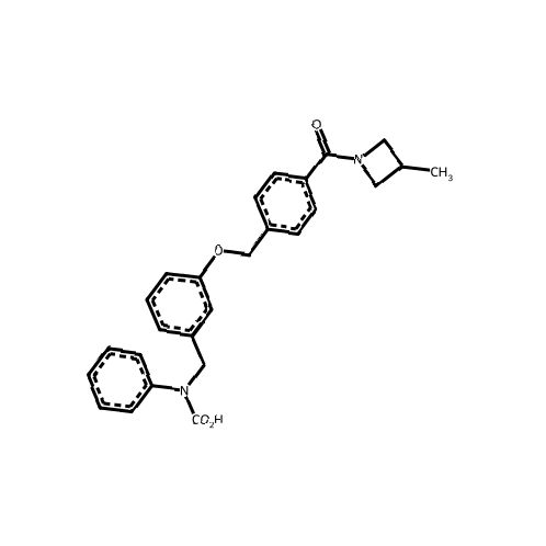 CC1CN(C(=O)c2ccc(COc3cccc(CN(C(=O)O)c4ccccc4)c3)cc2)C1